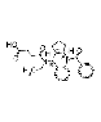 CCN(C(=O)CCC(=O)O)[C@H]1c2ccccc2N(C(=O)c2ccccc2)[C@@H]2CCC[C@@H]21